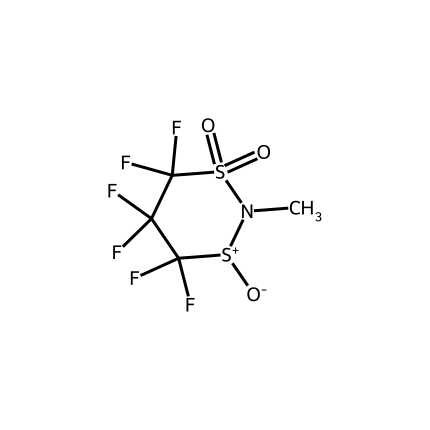 CN1[S+]([O-])C(F)(F)C(F)(F)C(F)(F)S1(=O)=O